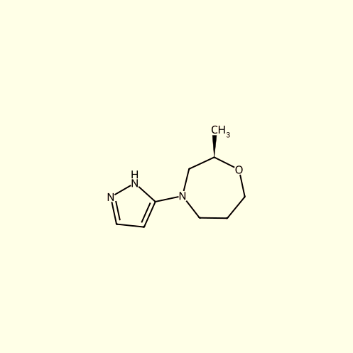 C[C@@H]1CN(c2ccn[nH]2)CCCO1